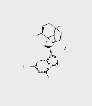 CC1=CC[C@@H]2C[C@H](OC(C)(C)C)C[C@H]1[C@@H]2NC(=O)c1ncn2c(C)cc(C)nc12